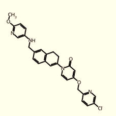 COc1ccc(NCc2ccc3c(c2)CCC(n2ccc(OCc4ccc(Cl)cn4)cc2=O)=C3)cn1